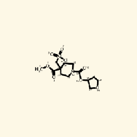 COC(=O)C1(CS(=O)(=O)Cl)CCN(C(=O)OC2CCOC2)CC1